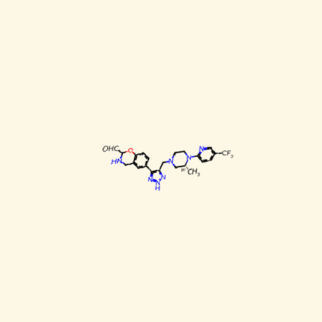 C[C@@H]1CN(Cc2n[nH]nc2-c2ccc3c(c2)CNC(C=O)O3)CCN1c1ccc(C(F)(F)F)cn1